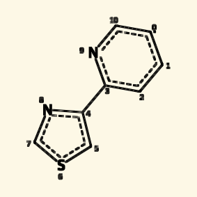 [c]1ccc(-c2cscn2)nc1